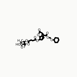 CC(OC(=O)CCC(=O)OC1C2CC3C1OC(=O)C3C2C(=O)OCOC1CCCCC1)C(F)(F)S(=O)(=O)O